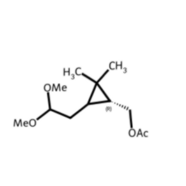 COC(CC1[C@@H](COC(C)=O)C1(C)C)OC